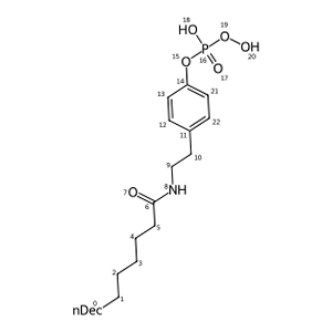 CCCCCCCCCCCCCCCC(=O)NCCc1ccc(OP(=O)(O)OO)cc1